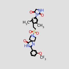 Cc1cc(N2C(=O)CNC2=O)cc(C)c1CCS(=O)(=O)N1CCC2(CC1)N=C(c1cccc(OC(F)(F)F)c1)NC2=O